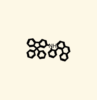 c1ccc(C2(c3ccccc3)c3ccccc3-c3ccc(Nc4ccccc4-c4cccc5ccc6ccccc6c45)cc32)cc1